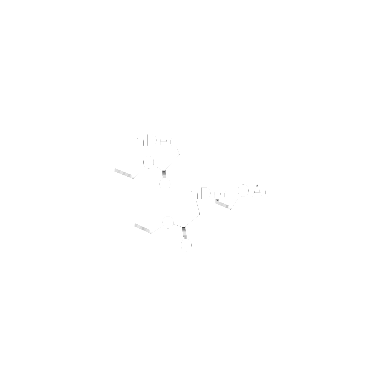 C=COC(=O)CCCCCCCCCCC.C=COC(=O)CCCCCCCCCCC.C=COC(C)=O